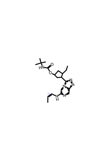 C/C=C\Nc1cn2c(C3CC(OC(=O)NC(C)(C)C)CC3CC)nnc2cn1